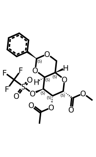 COC(=O)[C@H]1O[C@H]2CO[C@H](c3ccccc3)O[C@@H]2[C@H](OS(=O)(=O)C(F)(F)F)[C@H]1OC(C)=O